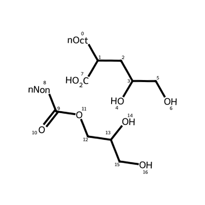 CCCCCCCCC(CC(O)CO)C(=O)O.CCCCCCCCCC(=O)OCC(O)CO